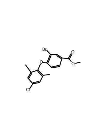 COC(=O)c1ccc(Oc2c(C)cc(Cl)cc2C)c(Br)c1